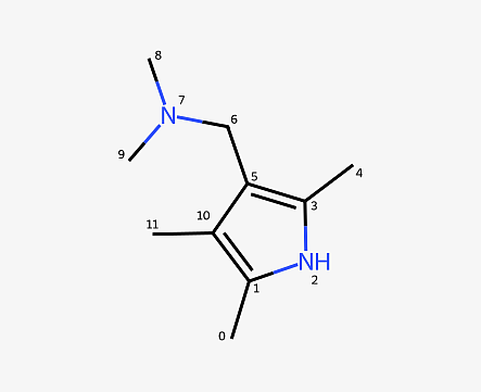 Cc1[nH]c(C)c(CN(C)C)c1C